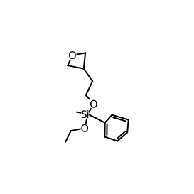 CCO[Si](C)(OCCC1COC1)c1ccccc1